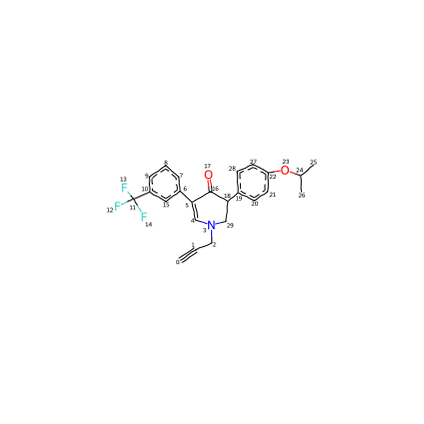 C#CCN1C=C(c2cccc(C(F)(F)F)c2)C(=O)C(c2ccc(OC(C)C)cc2)C1